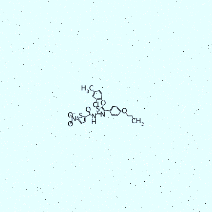 CCCOc1ccc(-c2nc(NC(=O)c3ccc([N+](=O)[O-])s3)sc2Oc2ccc(C)cc2Cl)cc1